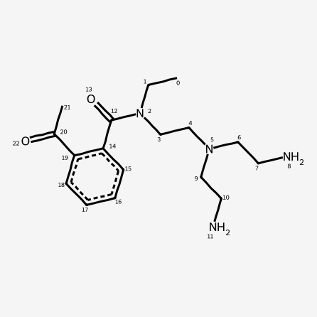 CCN(CCN(CCN)CCN)C(=O)c1ccccc1C(C)=O